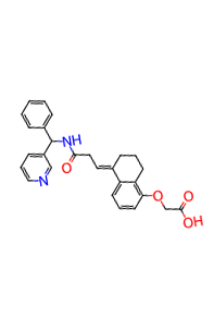 O=C(O)COc1cccc2c1CCCC2=CCC(=O)NC(c1ccccc1)c1cccnc1